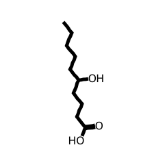 CCCCCC(O)CCCC(=O)O